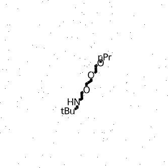 CCCOCCOCCOCCNCC(C)(C)C